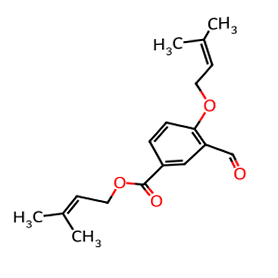 CC(C)=CCOC(=O)c1ccc(OCC=C(C)C)c(C=O)c1